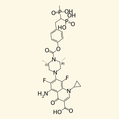 C[C@@H]1CN(c2c(F)c(N)c3c(=O)c(C(=O)O)cn(C4CC4)c3c2F)C[C@H](C)N1C(=O)Oc1ccc(CC(P(C)(=O)O)P(=O)(O)O)cc1